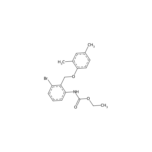 CCOC(=O)Nc1cccc(Br)c1COc1ccc(C)cc1C